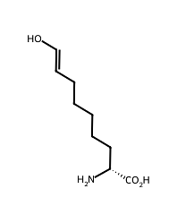 N[C@H](CCCCC/C=C/O)C(=O)O